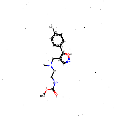 CN(CCNC(=O)OC(C)(C)C)Cc1cnoc1-c1ccc(C#N)cc1